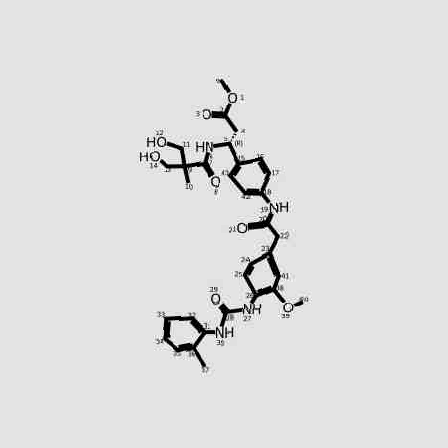 COC(=O)C[C@@H](NC(=O)C(C)(CO)CO)c1ccc(NC(=O)Cc2ccc(NC(=O)Nc3ccccc3C)c(OC)c2)cc1